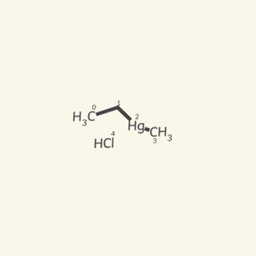 C[CH2][Hg][CH3].Cl